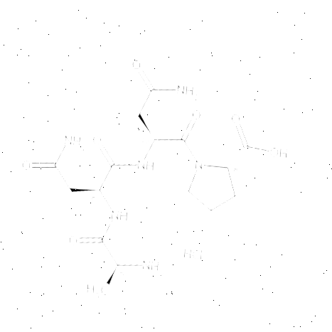 C[C@H](N)C(=O)N[C@@H](CC(N)=O)C(=O)N[C@@H](CC(N)=O)C(=O)N1CCC[C@H]1C(=O)O.Cl